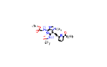 COC(=O)c1cccc(C#Cc2c(NC(=O)C(F)(F)F)nc(NCC(=O)OC(C)(C)C)c3ncn(C)c23)n1